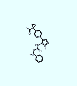 CC(=O)C1(c2ccc(-c3cnn(C)c3NC(=O)O[C@H](C)c3ccccc3)cc2)CC1